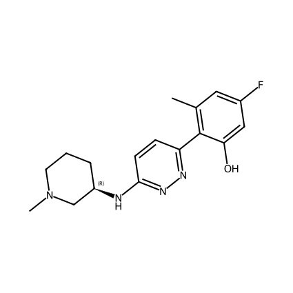 Cc1cc(F)cc(O)c1-c1ccc(N[C@@H]2CCCN(C)C2)nn1